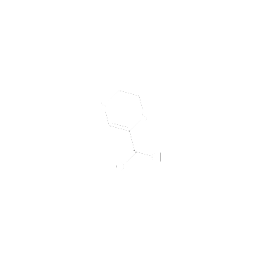 O=C(Cl)C1=CSCCS1